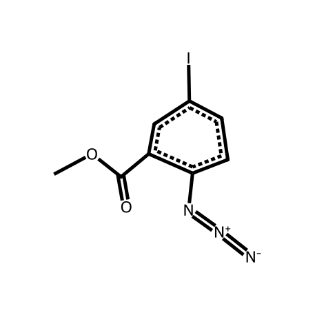 COC(=O)c1cc(I)ccc1N=[N+]=[N-]